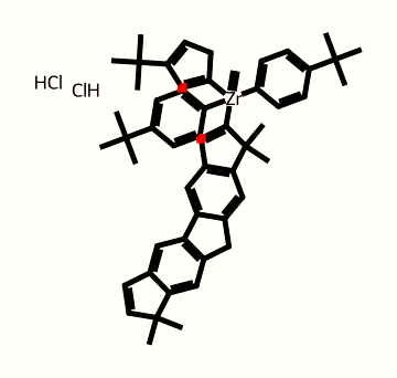 Cl.Cl.[CH2]=[Zr]([C]1=CC(C(C)(C)C)=CC1)([C]1=Cc2cc3c(cc2C1(C)C)Cc1cc2c(cc1-3)C=CC2(C)C)([c]1ccc(C(C)(C)C)cc1)[c]1ccc(C(C)(C)C)cc1